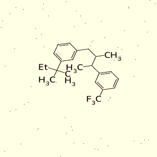 CCC(C)(C)c1cccc(CC(C)C(C)c2cccc(C(F)(F)F)c2)c1